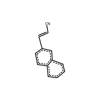 N#CC=Cc1ccc2ccccc2c1